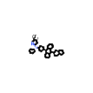 FC(F)(F)c1ccc(N(c2ccccc2)c2ccc(-c3c4ccccc4c(-c4ccc5ccccc5c4)c4ccccc34)cc2)nc1